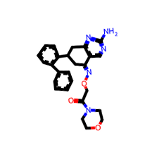 Nc1ncc2c(n1)CC(c1ccccc1-c1ccccc1)CC2=NOCC(=O)N1CCOCC1